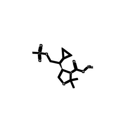 CC(C)(C)OC(=O)N1[C@@H](C(COS(C)(=O)=O)C2CC2)COC1(C)C